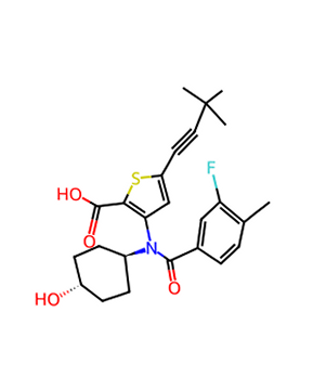 Cc1ccc(C(=O)N(c2cc(C#CC(C)(C)C)sc2C(=O)O)[C@H]2CC[C@H](O)CC2)cc1F